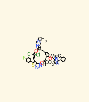 CCOC(=O)[C@H]1Cc2cc(ccc2OCc2ccnc(-c3ccccc3OC)n2)CC[C@H](CN2CCN(C)CC2)Oc2c(Cl)cc(cc2Cl)-c2c(-c3ccc(F)cc3)sc3ncnc(c23)O1